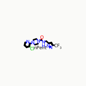 CCCCCn1nc(C(F)(F)F)cc1CNC(=O)N1CCN(c2ncccc2Cl)CC1